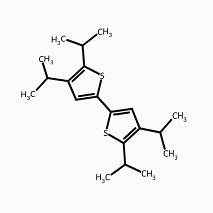 CC(C)c1cc(-c2cc(C(C)C)c(C(C)C)s2)sc1C(C)C